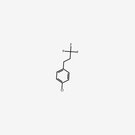 FC(F)(F)CCc1ccc(Cl)cc1